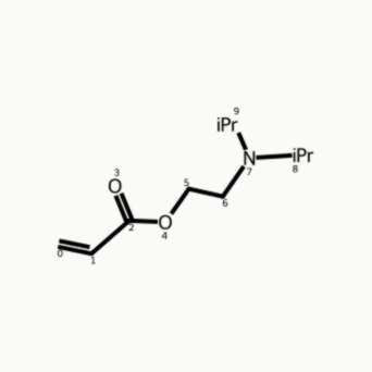 C=CC(=O)OCCN(C(C)C)C(C)C